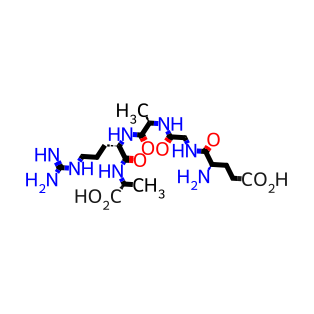 C[C@H](NC(=O)[C@H](CCCNC(=N)N)NC(=O)[C@H](C)NC(=O)CNC(=O)[C@@H](N)CCC(=O)O)C(=O)O